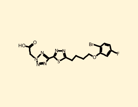 O=C(O)Cn1nnc(-c2nnc(CCCCOc3cc(F)ccc3Br)s2)n1